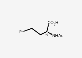 CC(=O)N[C@@H](CCC(C)C)C(=O)O